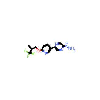 CC(COc1ccc(-c2cnc(NN)cn2)cn1)C(F)(F)F